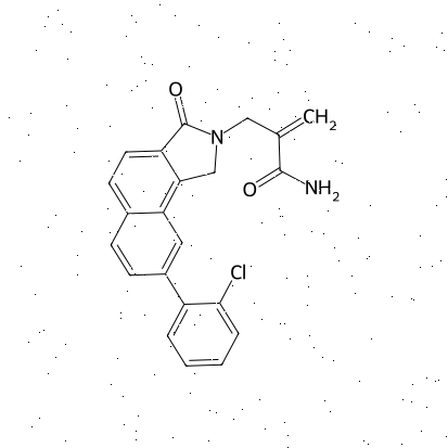 C=C(CN1Cc2c(ccc3ccc(-c4ccccc4Cl)cc23)C1=O)C(N)=O